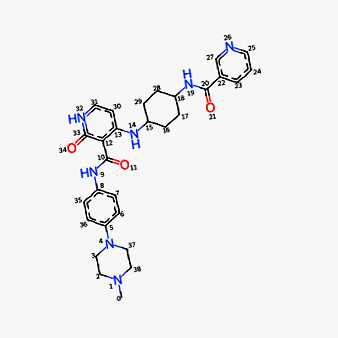 CN1CCN(c2ccc(NC(=O)c3c(NC4CCC(NC(=O)c5cccnc5)CC4)cc[nH]c3=O)cc2)CC1